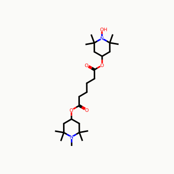 CN1C(C)(C)CC(OC(=O)CCCCC(=O)OC2CC(C)(C)N(O)C(C)(C)C2)CC1(C)C